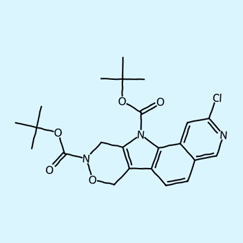 CC(C)(C)OC(=O)N1Cc2c(c3ccc4cnc(Cl)cc4c3n2C(=O)OC(C)(C)C)CO1